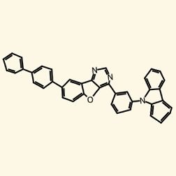 c1ccc(-c2ccc(-c3ccc4oc5c(-c6cccc(-n7c8ccccc8c8ccccc87)c6)ncnc5c4c3)cc2)cc1